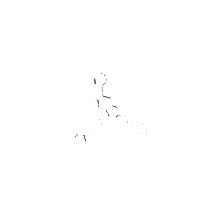 C=CC(=O)N1CCN(c2nc(CCN3CC(F)(F)C3)nc3c(F)c(-c4c(O)cccc4F)c(Cl)cc23)CC1